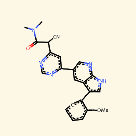 COc1ccccc1-c1c[nH]c2ncc(-c3cc(C(C#N)C(=O)N(C)C)ncn3)cc12